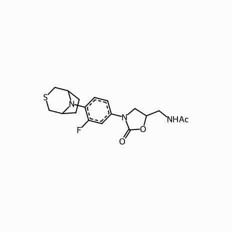 CC(=O)NCC1CN(c2ccc(N3C4CCC3CSC4)c(F)c2)C(=O)O1